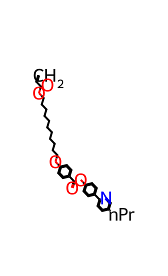 C=CC(=O)OCCCCCCCCCCCOc1ccc(C(=O)Oc2ccc(-c3ccc(CCC)cn3)cc2)cc1